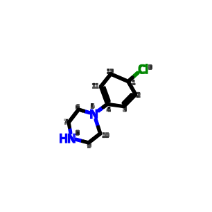 ClC1C=CC(N2CCNCC2)=CC1